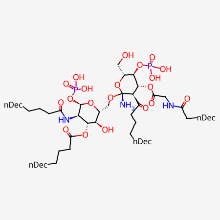 CCCCCCCCCCCCCC(=O)N[C@H]1[C@@H](OP(=O)(O)O)O[C@H](CO[C@]2(N)O[C@H](CO)[C@@H](OP(=O)(O)O)[C@H](OC(=O)CNC(=O)CCCCCCCCCCC)[C@H]2C(=O)CCCCCCCCCCCCC)[C@@H](O)[C@@H]1OC(=O)CCCCCCCCCCCCC